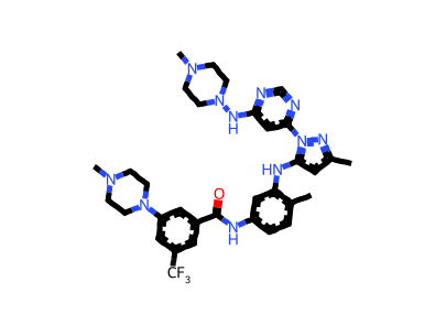 Cc1cc(Nc2cc(NC(=O)c3cc(N4CCN(C)CC4)cc(C(F)(F)F)c3)ccc2C)n(-c2cc(NN3CCN(C)CC3)ncn2)n1